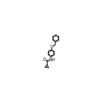 O=C(Nc1ccc(OCc2ccccc2)cc1)C1CC1